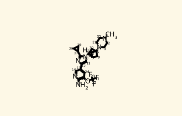 CN1CCN(C23CC(C2)[C@@H](n2cc(-c4cnc(N)c(OC(F)(F)F)c4)nc2C2CC2)C3)CC1